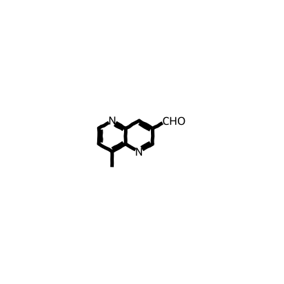 Cc1ccnc2cc(C=O)cnc12